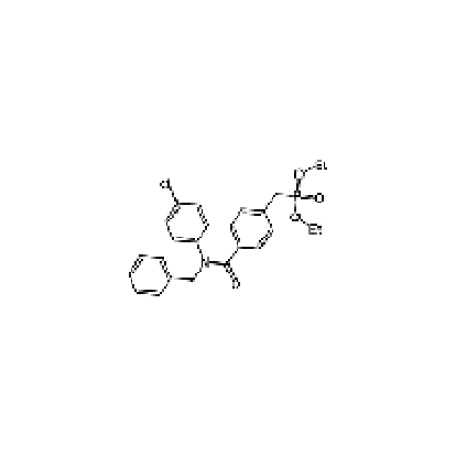 CCOP(=O)(Cc1ccc(C(=O)N(Cc2ccccc2)c2ccc(Cl)cc2)cc1)OCC